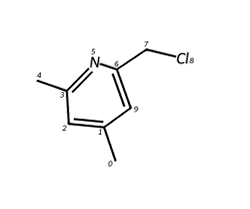 Cc1cc(C)nc(CCl)c1